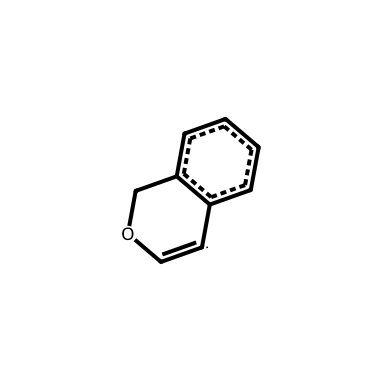 [C]1=COCc2ccccc21